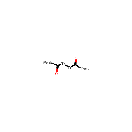 CCCC(C)C(=O)[Te][Te]C(=O)C(C)CCC